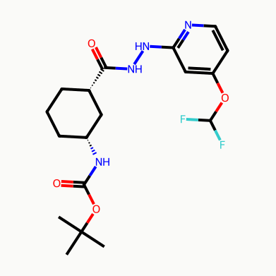 CC(C)(C)OC(=O)N[C@@H]1CCC[C@H](C(=O)NNc2cc(OC(F)F)ccn2)C1